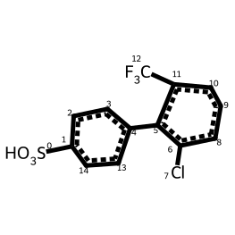 O=S(=O)(O)c1ccc(-c2c(Cl)cccc2C(F)(F)F)cc1